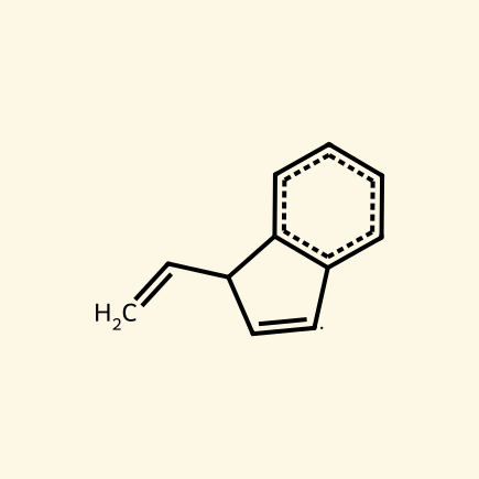 C=CC1C=[C]c2ccccc21